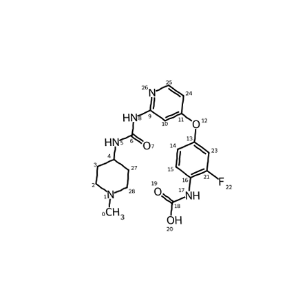 CN1CCC(NC(=O)Nc2cc(Oc3ccc(NC(=O)O)c(F)c3)ccn2)CC1